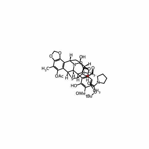 COc1c(C)cc2c(c1O)[C@@H]1[C@@H]3[C@@H]4SCC(NC(=O)[C@@H]5CCCN5C(=O)OC(C)(C)C)C(=O)OC[C@@H](c5c6c(c(C)c(OC(C)=O)c54)OCO6)N3[C@@H](O)[C@H](C2)N1C